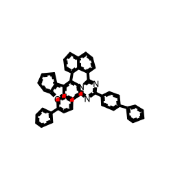 c1ccc(-c2ccc(-c3nc(-c4ccc(-c5ccccc5)cc4)nc(-c4cccc5cccc(-c6cccc7oc8ccccc8c67)c45)n3)cc2)cc1